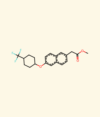 COC(=O)Cc1ccc2cc(OC3CCC(C(F)(F)F)CC3)ccc2c1